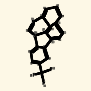 FC(F)(F)c1ccc2c(c1)c1ccc3cccc4ncn2c1c34